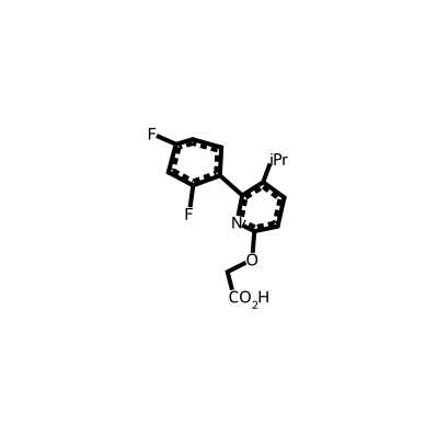 CC(C)c1ccc(OCC(=O)O)nc1-c1ccc(F)cc1F